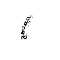 CCN1CCN(Cc2ccc(NC(=O)COc3ccc(-c4cnn5cccnc45)cc3)cc2C(F)(F)F)CC1